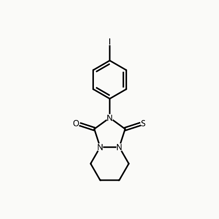 O=c1n(-c2ccc(I)cc2)c(=S)n2n1CCCC2